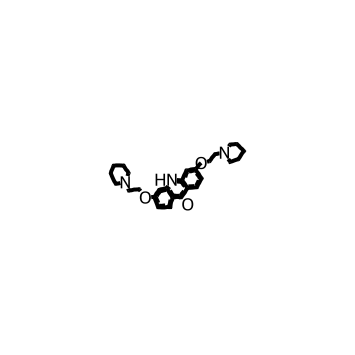 O=c1c2ccc(OCCN3CCCCC3)cc2[nH]c2cc(OCCN3CCCCC3)ccc12